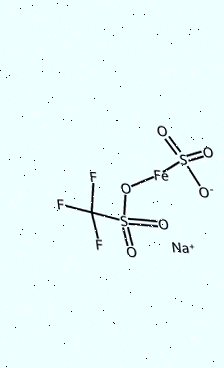 O=[S](=O)([O-])[Fe][O]S(=O)(=O)C(F)(F)F.[Na+]